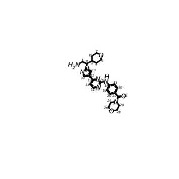 NCC(C1CCOCC1)n1cc(-c2ccnc(Nc3ccc(C(=O)N4CCOCC4)cc3)n2)cn1